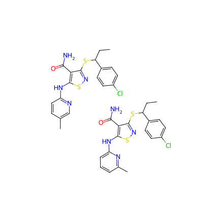 CCC(Sc1nsc(Nc2ccc(C)cn2)c1C(N)=O)c1ccc(Cl)cc1.CCC(Sc1nsc(Nc2cccc(C)n2)c1C(N)=O)c1ccc(Cl)cc1